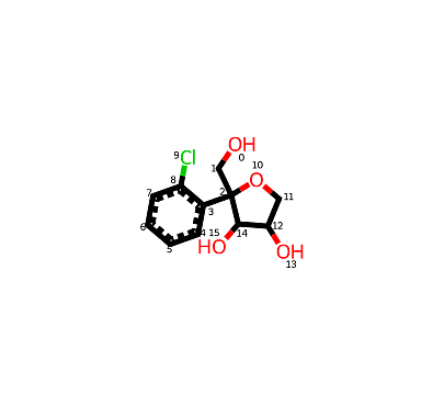 OCC1(c2ccccc2Cl)OCC(O)C1O